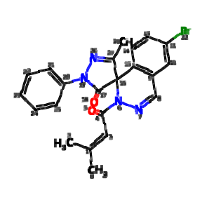 CC(C)=CC(=O)N1N=Cc2cc(Br)ccc2C12C(=O)N(c1ccccc1)N=C2C